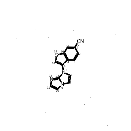 N#Cc1ccc2c(-n3ccn4ccnc34)csc2c1